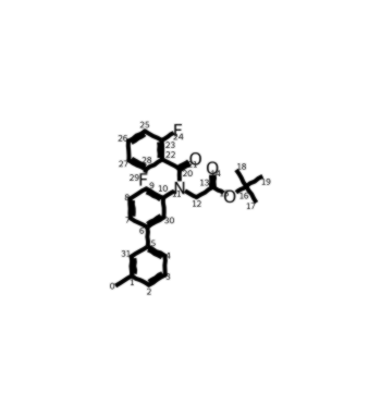 Cc1cccc(-c2cccc(N(CC(=O)OC(C)(C)C)C(=O)c3c(F)cccc3F)c2)c1